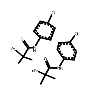 CCCC(C)(C)C(=O)Nc1ccc(Cl)cc1.CCCC(C)(C)C(=O)Nc1ccc(Cl)cc1